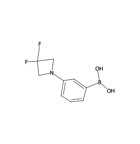 OB(O)c1cccc(N2CC(F)(F)C2)c1